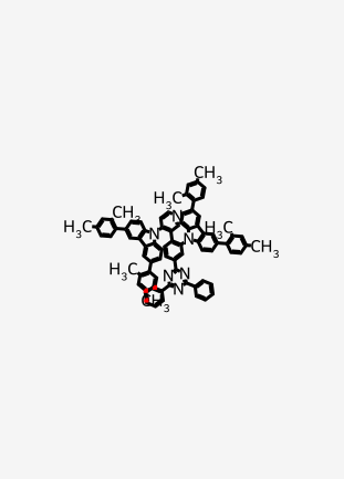 Cc1ccc(-c2ccc3c(c2)c2cc(-c4ccc(C)cc4C)ccc2n3-c2ccncc2-c2ccc(-c3nc(-c4ccccc4)nc(-c4ccccc4)n3)cc2-n2c3ccc(-c4ccc(C)cc4C)cc3c3cc(-c4ccc(C)cc4C)ccc32)c(C)c1